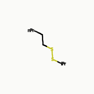 CCCCCSSC(C)C